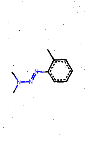 Cc1ccccc1/N=N/N(C)C